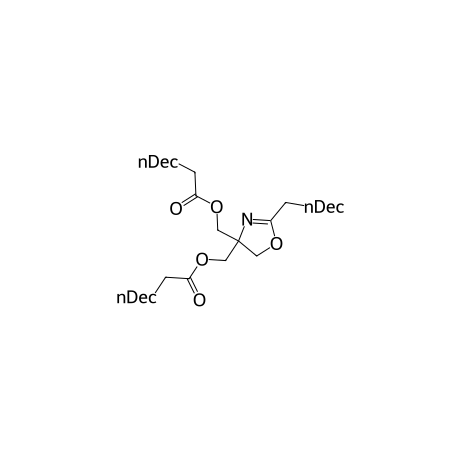 CCCCCCCCCCCC(=O)OCC1(COC(=O)CCCCCCCCCCC)COC(CCCCCCCCCCC)=N1